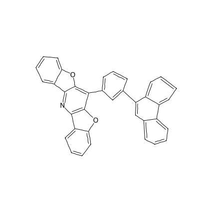 c1cc(-c2cc3ccccc3c3ccccc23)cc(-c2c3oc4ccccc4c3nc3c2oc2ccccc23)c1